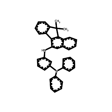 CC1(C)c2ccccc2-c2c(Nc3cccc(N(c4ccccc4)c4ccccc4)c3)cc3ccccc3c21